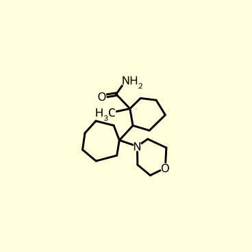 CC1(C(N)=O)CCCCC1C1(N2CCOCC2)CCCCCC1